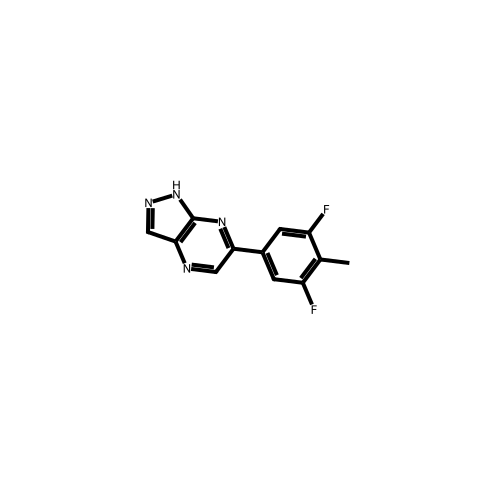 Cc1c(F)cc(-c2cnc3cn[nH]c3n2)cc1F